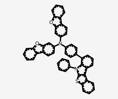 c1ccc(-n2c3sc4ccccc4c3c3cccc(-c4ccc(N(c5ccc6c(c5)oc5ccccc56)c5ccc6c(c5)oc5ccccc56)cc4)c32)cc1